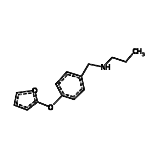 CCCNCc1ccc(Oc2ccco2)cc1